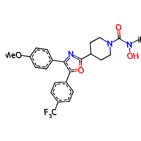 COc1ccc(-c2nc(C3CCN(C(=O)N(O)C(C)C)CC3)oc2-c2ccc(C(F)(F)F)cc2)cc1